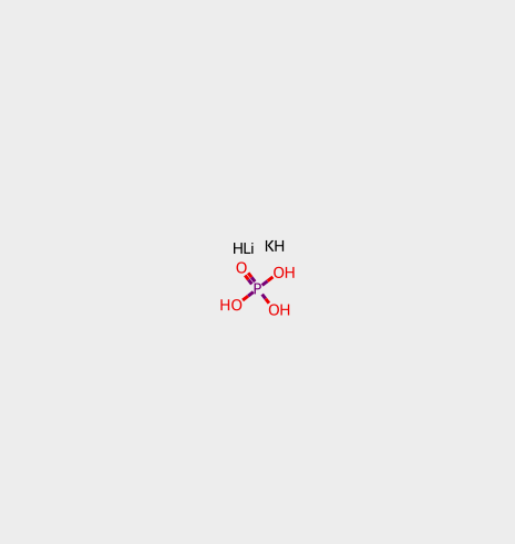 O=P(O)(O)O.[KH].[LiH]